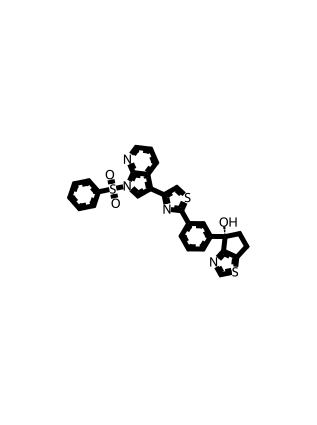 O=S(=O)(c1ccccc1)n1cc(-c2csc(-c3cccc([C@@]4(O)CCc5scnc54)c3)n2)c2cccnc21